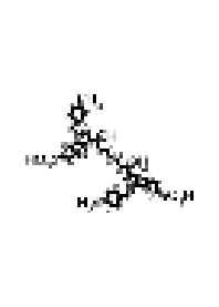 Cc1ccc(Cn2nc(C(O)CCCCCC(O)c3nn(Cc4ccc(C)cc4)c4c3oc3cc(S(=O)(=O)O)sc34)c3oc4cc(S(=O)(=O)O)sc4c32)cc1